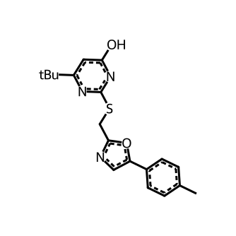 Cc1ccc(-c2cnc(CSc3nc(O)cc(C(C)(C)C)n3)o2)cc1